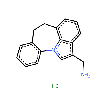 Cl.NCc1cn2c3c(cccc13)CCc1ccccc1-2